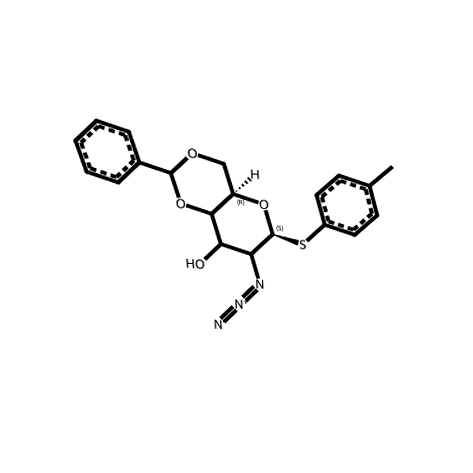 Cc1ccc(S[C@@H]2O[C@@H]3COC(c4ccccc4)OC3C(O)C2N=[N+]=[N-])cc1